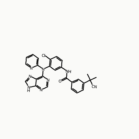 CC(C)(C#N)c1cccc(C(=O)Nc2ccc(Cl)c(N(c3ccccn3)c3ncnc4[nH]cnc34)c2)c1